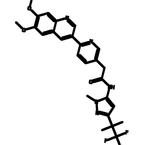 COc1cc2cc(-c3ccc(CC(=O)Nc4cc(C(C)(C)C(F)(F)F)nn4C)cn3)cnc2cc1OC